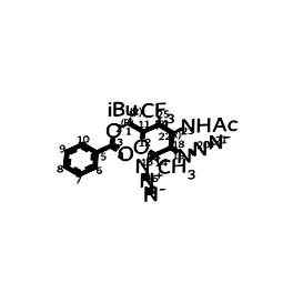 CC[C@@H](C)[C@@H](OC(=O)c1ccccc1)C1O[C@@](C)(N=[N+]=[N-])C(N=[N+]=[N-])[C@H](NC(C)=O)[C@H]1C(F)(F)F